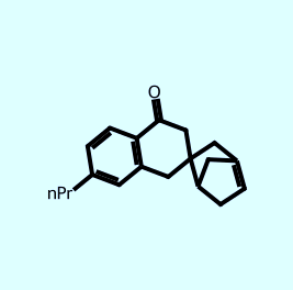 CCCc1ccc2c(c1)CC1(CC2=O)CC2=CCC1C2